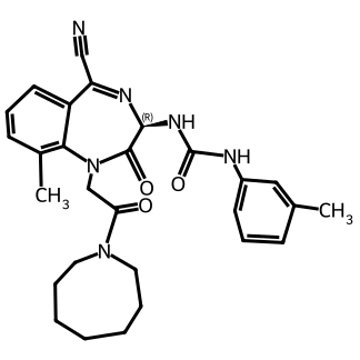 Cc1cccc(NC(=O)N[C@@H]2N=C(C#N)c3cccc(C)c3N(CC(=O)N3CCCCCCC3)C2=O)c1